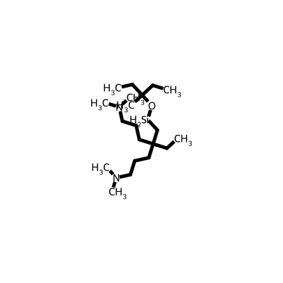 CCC(CCCN(C)C)(CCCN(C)C)C[SiH2]OC(C)(CC)CC